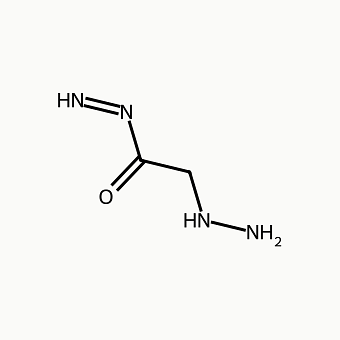 N=NC(=O)CNN